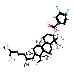 CC(C)=CCC[C@@H](C)[C@H]1CC[C@@]2(C)C3=C(CC[C@]12C)[C@@]1(C)CC[C@H](OC(=O)c2ccc(F)c(F)c2)C(C)(C)C1CC3